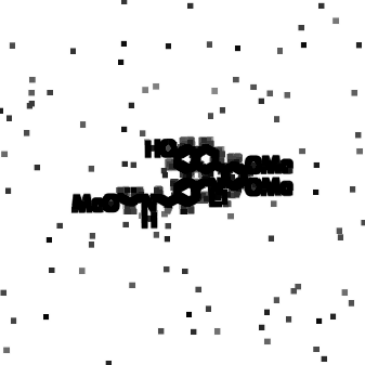 CCN(Cc1ccc(CCNCCCOC)cc1)c1cc(OC)c(OC)cc1C1CCc2cc(O)ccc2C1